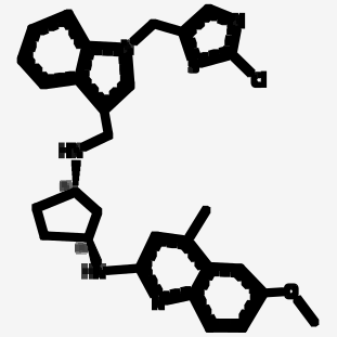 COc1ccc2nc(N[C@H]3CC[C@H](NCc4cn(Cc5cnc(Cl)s5)c5ccccc45)C3)cc(C)c2c1